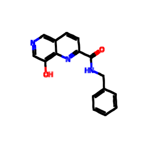 O=C(NCc1ccccc1)c1ccc2cncc(O)c2n1